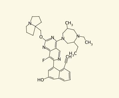 C#Cc1cccc2cc(O)cc(-c3ncc4c(N5CC(C)CN(CC)C(CC)C5)nc(OCC56CCCN5CCC6)nc4c3F)c12